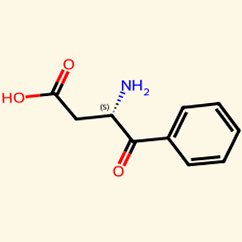 N[C@@H](CC(=O)O)C(=O)c1cc[c]cc1